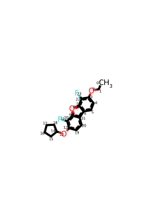 CCOc1ccc2c(oc3c(F)c(OC4CCCC4)ccc32)c1F